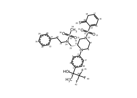 CC(O)(c1ccc(N2CCN(S(=O)(=O)C3=CC=CCC3=S)C[C@H]2CN(CCc2ccccc2)S(C)(=O)=O)cc1)C(F)(F)F